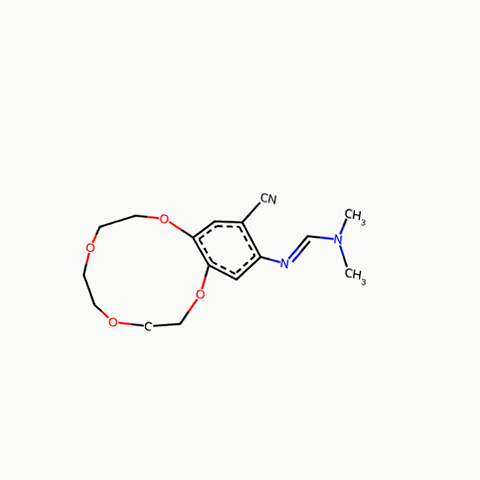 CN(C)/C=N/c1cc2c(cc1C#N)OCCOCCOCCO2